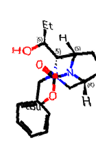 CC[C@H](O)[C@@H]1[C@@H]2CC[C@H](CN1Cc1ccccc1)N2C(=O)OC(C)(C)C